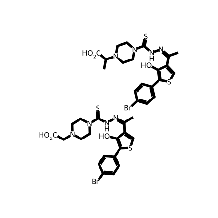 CC(=NNC(=S)N1CCN(C(C)C(=O)O)CC1)c1csc(-c2ccc(Br)cc2)c1O.CC(=NNC(=S)N1CCN(CC(=O)O)CC1)c1csc(-c2ccc(Br)cc2)c1O